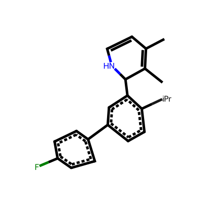 CC1=C(C)C(c2cc(-c3ccc(F)cc3)ccc2C(C)C)NC=C1